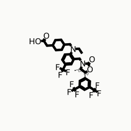 CCN(CC1CCC(CC(=O)O)CC1)c1ccc(C(F)(F)F)cc1CN1C(=O)O[C@H](c2cc(C(F)(F)F)cc(C(F)(F)F)c2)[C@@H]1C